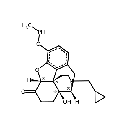 CPOc1ccc2c3c1O[C@H]1C(=O)CC[C@@]4(O)[C@@H](C2)N(CC2CC2)CC[C@]314